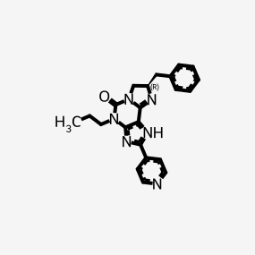 CCCN1C(=O)N2C[C@@H](Cc3ccccc3)N=C2c2[nH]c(-c3ccncc3)nc21